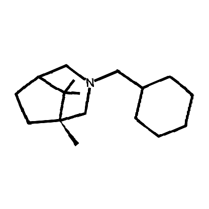 CC1(C)C2CC[C@@]1(C)CN(CC1CCCCC1)C2